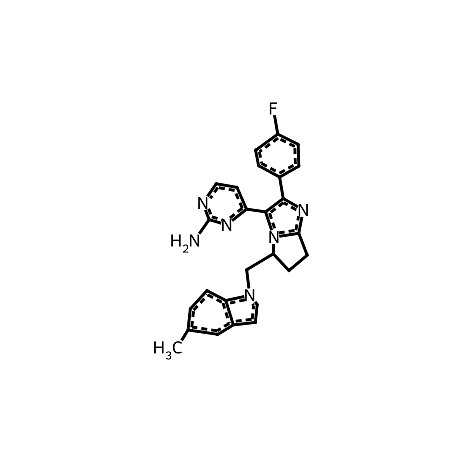 Cc1ccc2c(ccn2CC2CCc3nc(-c4ccc(F)cc4)c(-c4ccnc(N)n4)n32)c1